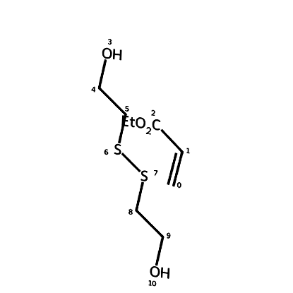 C=CC(=O)OCC.OCCSSCCO